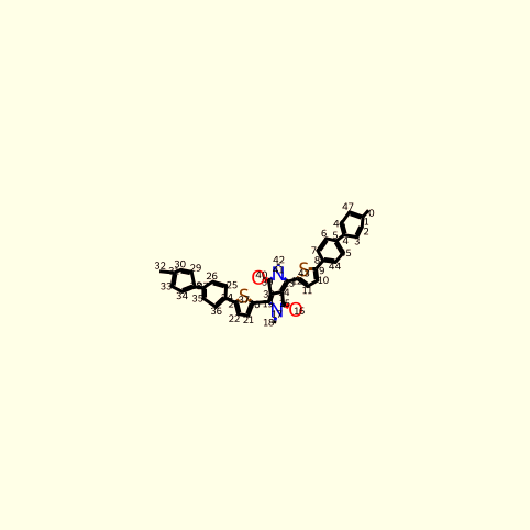 Cc1ccc(-c2ccc(-c3ccc(C4=C5C(=O)N(C)C(c6ccc(-c7ccc(-c8ccc(C)cc8)cc7)s6)=C5C(=O)N4C)s3)cc2)cc1